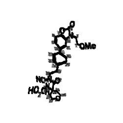 COCCn1c(=O)oc2ccc(-c3ccc(CCN(C#N)C(=O)C4(NC(=O)O)CCOCC4)cc3)cc21